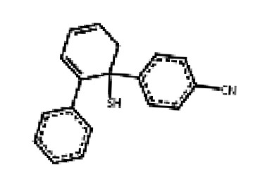 N#Cc1ccc(C2(S)CC=CC=C2c2ccccc2)cc1